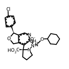 Cc1ncc2c(c1[C@@]1(C(=O)O)CCCN1[N+]([O-])=NOC1CCCCC1)CO[C@H]2c1ccc(Cl)cc1